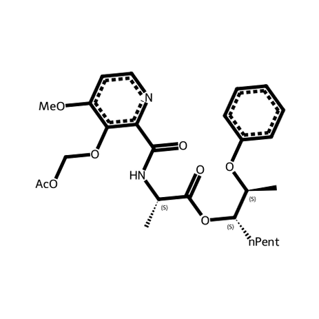 CCCCC[C@H](OC(=O)[C@H](C)NC(=O)c1nccc(OC)c1OCOC(C)=O)[C@H](C)Oc1ccccc1